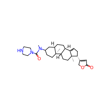 CN(C(=O)N1CCNCC1)C1CC[C@@]2(C)[C@H](CC[C@H]3C4=CC[C@H](C5=CC(=O)OC5)[C@@]4(C)CC[C@@H]32)C1